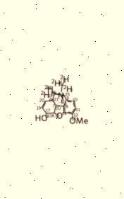 [2H]C([2H])([2H])N1CC[C@]23c4c5ccc(OC)c4OC2C(O)C=C[C@@]3([2H])[C@@]1([2H])C5